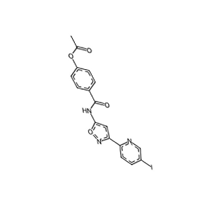 CC(=O)Oc1ccc(C(=O)Nc2cc(-c3ccc(I)cn3)no2)cc1